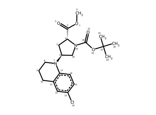 COC(=O)[C@H]1C[C@H](N2CCCc3cc(Cl)ccc32)CN1C(=O)OC(C)(C)C